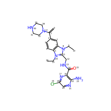 C=C(c1ccc2c(c1)n(CC)c(CNC(=O)c1nc(Cl)cnc1N)[n+]2CC)N1CCNCC1